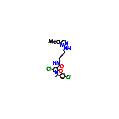 COc1ccnc(NCCC#CCCNC(=O)c2cc(Cl)cn(C(C)c3ccc(Cl)cc3)c2=O)n1